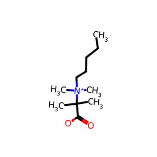 CCCCC[N+](C)(C)C(C)(C)C(=O)[O-]